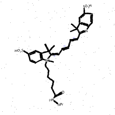 CCCNC(=O)CCCCC[N+]1(C)/C(=C/C=C/C=C/C2=Nc3ccc(S(=O)(=O)O)cc3C2(C)C)C(C)(C)c2cc(S(=O)(=O)O)ccc21